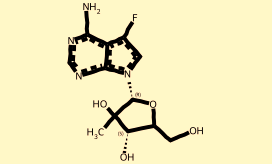 CC1(O)[C@@H](O)C(CO)O[C@H]1n1cc(F)c2c(N)ncnc21